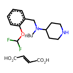 CCCCN(Cc1ccccc1OC(F)F)C1CCNCC1.O=C(O)C=CC(=O)O